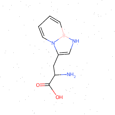 NC(CC1=CNB2C=CC=CN21)C(=O)O